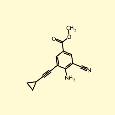 COC(=O)c1cc(C#N)c(N)c(C#CC2CC2)c1